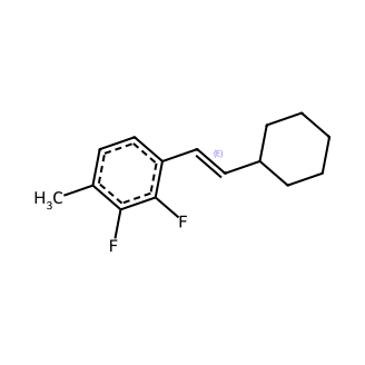 Cc1ccc(/C=C/C2CCCCC2)c(F)c1F